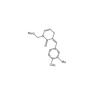 COCN1C=CSC(=Cc2ccc(OC(C)=O)c(C(C)(C)C)c2)C1=O